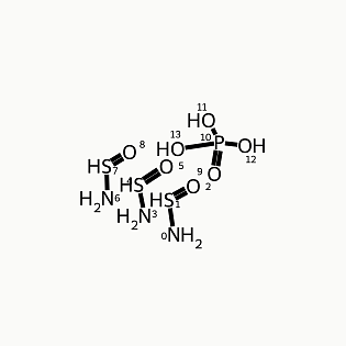 N[SH]=O.N[SH]=O.N[SH]=O.O=P(O)(O)O